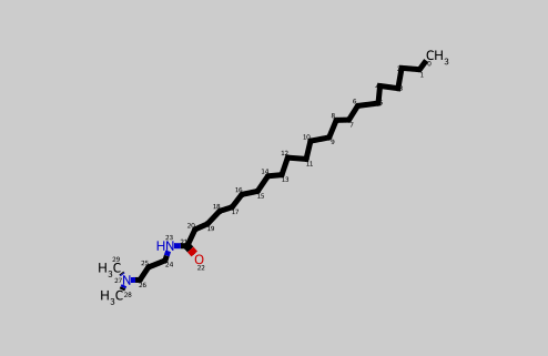 CCCCCCCCCCCCCCCCCCCCCC(=O)NCCCN(C)C